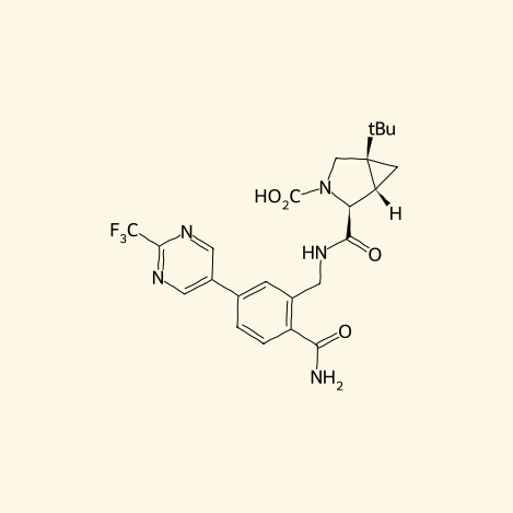 CC(C)(C)[C@@]12C[C@@H]1[C@@H](C(=O)NCc1cc(-c3cnc(C(F)(F)F)nc3)ccc1C(N)=O)N(C(=O)O)C2